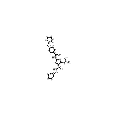 CCN(CC)Cc1nc(NC(=O)c2ccc(Cc3ccccc3)cc2)sc1C(=O)NCc1ccccc1